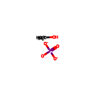 O=C(O)O.O=P([O-])([O-])[O-].[Nd+3]